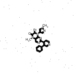 CCC1C(=O)N(C)c2cnc(-c3ccncc3-c3ccccc3)nc2N1c1cnn(C)c1